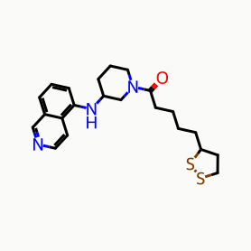 O=C(CCCCC1CCSS1)N1CCCC(Nc2cccc3cnccc23)C1